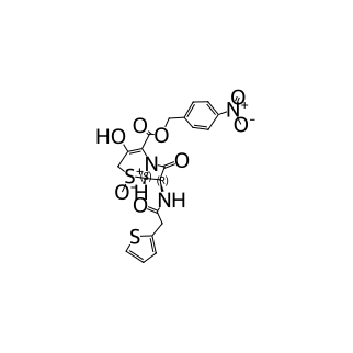 O=C(Cc1cccs1)N[C@@H]1C(=O)N2C(C(=O)OCc3ccc([N+](=O)[O-])cc3)=C(O)C[S+]([O-])[C@@H]12